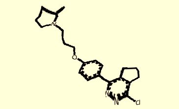 CC1CCCN1CCCOc1ccc(-c2nnc(Cl)c3c2CCC3)cc1